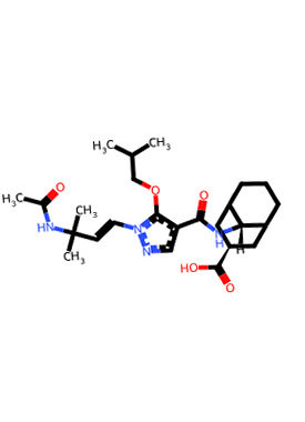 CC(=O)NC(C)(C)/C=C/n1ncc(C(=O)N[C@H]2C3CCCC2C[C@H](C(=O)O)C3)c1OCC(C)C